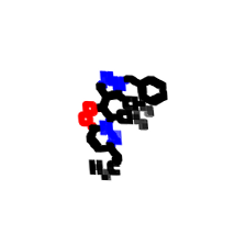 C=Cc1ccc(=O)n(C(C)C(=O)c2cnn(Cc3ccccc3)c2C)n1